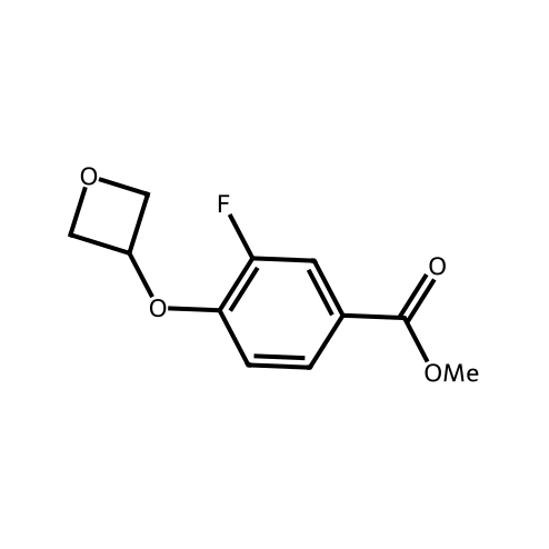 COC(=O)c1ccc(OC2COC2)c(F)c1